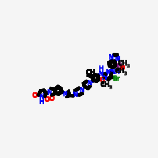 CCc1cc(Nc2ncc(Br)c(Nc3ccc4nccnc4c3P(C)(C)=O)n2)c(OC)cc1N1CCC(N2CCN(CC3CN(c4ccc5c(c4)C(=O)N(C4CCC(=O)NC4=O)C5)C3)CC2)CC1